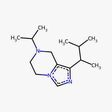 CC(C)C(C)c1ncn2c1CN(C(C)C)CC2